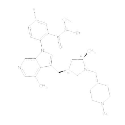 CC(=O)N1CCC(CN2C[C@@H](Cc3cn(-c4ccc(F)cc4C(=O)N(C)C(C)C)c4cncc(C)c34)C[C@H]2C)CC1